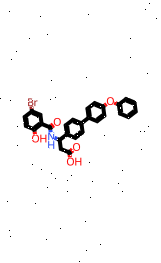 O=C(O)CC(NC(=O)c1cc(Br)ccc1O)c1ccc(-c2ccc(Oc3ccccc3)cc2)cc1